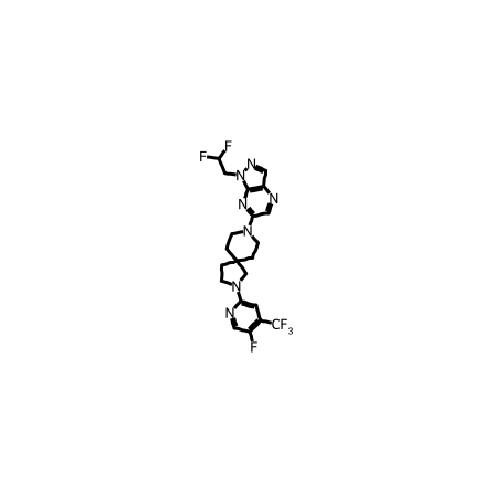 Fc1cnc(N2CCC3(CCN(c4cnc5cnn(CC(F)F)c5n4)CC3)C2)cc1C(F)(F)F